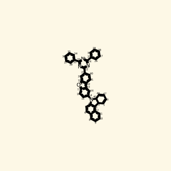 C1=CC2c3c(ccc4ccccc34)N(c3ccc4oc5cc(-c6nc(-c7ccccc7)nc(-c7ccccc7)n6)ccc5c4c3)C2C=C1